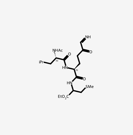 CCOC(=O)C(CSC)NC(=O)[C@H](CCC(=O)C=N)NC(=O)[C@H](CC(C)C)NC(C)=O